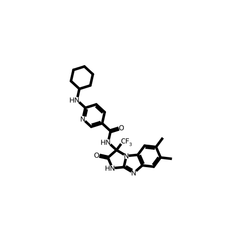 Cc1cc2nc3n(c2cc1C)C(NC(=O)c1ccc(NC2CCCCC2)nc1)(C(F)(F)F)C(=O)N3